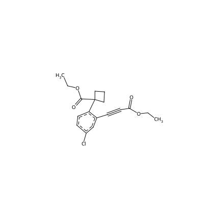 CCOC(=O)C#Cc1cc(Cl)ccc1C1(C(=O)OCC)CCC1